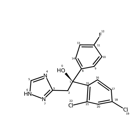 O[C@@](Cc1nc[nH]n1)(c1ccc(F)cc1)c1ccc(Cl)cc1Cl